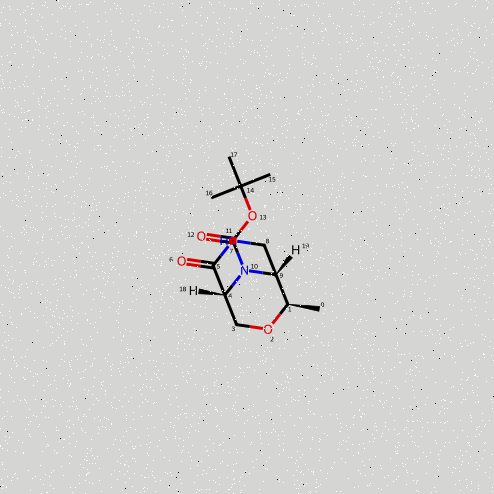 C[C@H]1OC[C@@H]2C(=O)NC[C@H]1N2C(=O)OC(C)(C)C